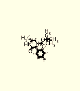 C[C@@H]1CN(C(=O)OC(C)(C)C)[C@@H](c2ccc(F)cc2)C(=O)N1